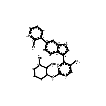 CC(C)(C)C1[C@@H](Nc2ncc(C(F)(F)F)c(-c3c[nH]c4cc(-c5cccnc5O)ccc34)n2)CCCN1O